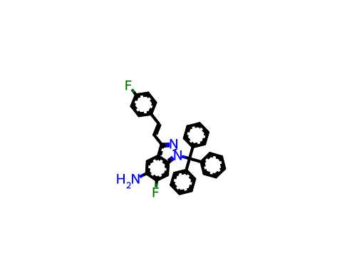 Nc1cc2c(C=Cc3ccc(F)cc3)nn(C(c3ccccc3)(c3ccccc3)c3ccccc3)c2cc1F